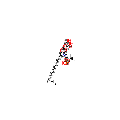 CCCCCCCCCCCCCCCCC(=CN(C)CCOCCC(=O)O)CCOCCOCCO.COS(=O)(=O)O